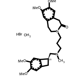 Br.COc1cc2c(cc1OC)CC(=O)N(CCCN(C)C[C@H]1Cc3cc(OC)c(OC)cc31)CC2.O